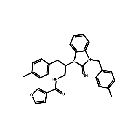 Cc1ccc(CC(CNC(=O)c2ccoc2)n2c(=N)n(Cc3ccc(C)cc3)c3ccccc32)cc1